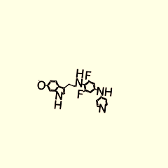 COc1ccc2c(CCNc3c(F)cc(Nc4ccncc4)cc3F)c[nH]c2c1